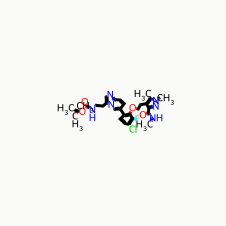 CNC(=O)c1nn(C)c(C)c1CCOc1c(-c2ccc3ncc(CCNC(=O)OC(C)(C)C)n3c2)ccc(Cl)c1F